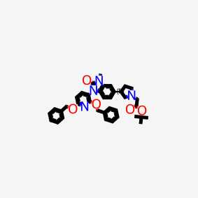 Cn1c(=O)n(-c2ccc(OCc3ccccc3)nc2OCc2ccccc2)c2ccc([C@H]3CCN(CC(=O)OC(C)(C)C)C3)cc21